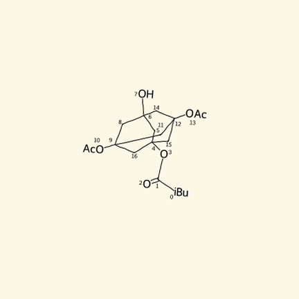 CCC(C)C(=O)OC12CC3(O)CC(OC(C)=O)(CC(OC(C)=O)(C3)C1)C2